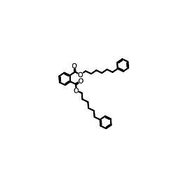 O=C(OCCCCCCc1ccccc1)c1ccccc1C(=O)OCCCCCCc1ccccc1